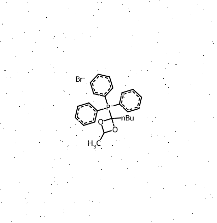 CCCCC1([P+](c2ccccc2)(c2ccccc2)c2ccccc2)OC(C)O1.[Br-]